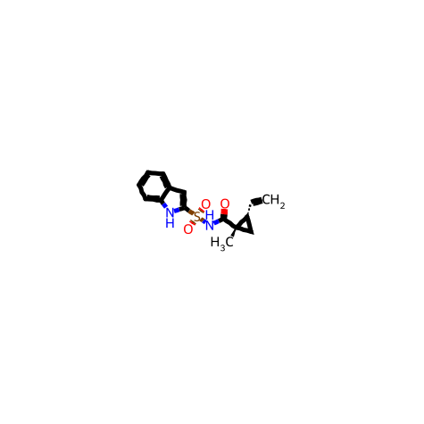 C=C[C@@H]1C[C@]1(C)C(=O)NS(=O)(=O)c1cc2ccccc2[nH]1